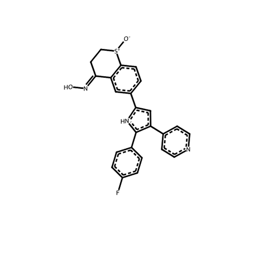 [O-][S+]1CCC(=NO)c2cc(-c3cc(-c4ccncc4)c(-c4ccc(F)cc4)[nH]3)ccc21